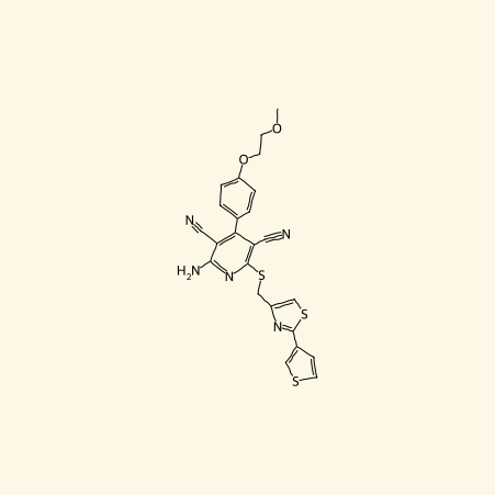 COCCOc1ccc(-c2c(C#N)c(N)nc(SCc3csc(-c4ccsc4)n3)c2C#N)cc1